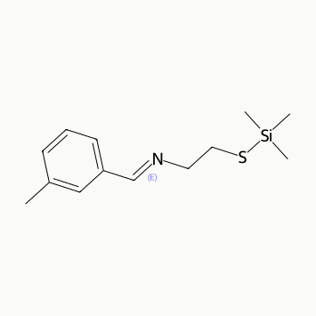 Cc1cccc(/C=N/CCS[Si](C)(C)C)c1